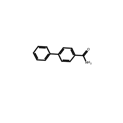 NC(=O)c1ccc(-c2[c]cccc2)cc1